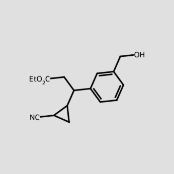 CCOC(=O)CC(c1cccc(CO)c1)C1CC1C#N